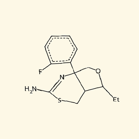 CCC1OCC2(c3ccccc3F)N=C(N)SCC12